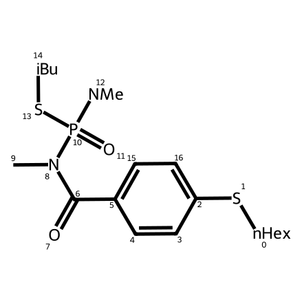 CCCCCCSc1ccc(C(=O)N(C)P(=O)(NC)SC(C)CC)cc1